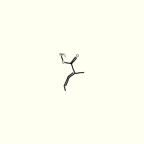 CC=C=C(C)C(=O)ON